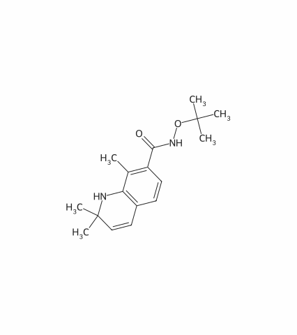 Cc1c(C(=O)NOC(C)(C)C)ccc2c1NC(C)(C)C=C2